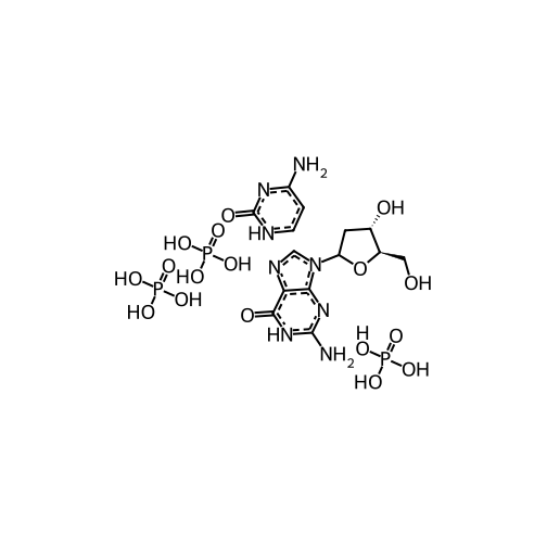 Nc1cc[nH]c(=O)n1.Nc1nc2c(ncn2C2C[C@H](O)[C@@H](CO)O2)c(=O)[nH]1.O=P(O)(O)O.O=P(O)(O)O.O=P(O)(O)O